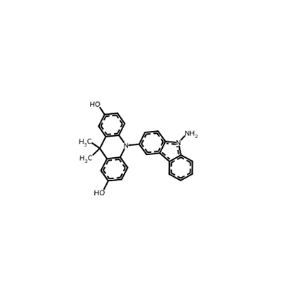 CC1(C)c2cc(O)ccc2N(c2ccc3c(c2)c2ccccc2n3N)c2ccc(O)cc21